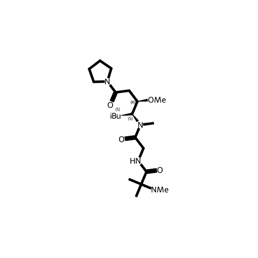 CC[C@H](C)[C@@H]([C@@H](CC(=O)N1CCCC1)OC)N(C)C(=O)CNC(=O)C(C)(C)NC